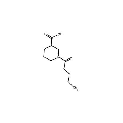 CCCCC(=O)N1CCC[C@@H](C(=O)O)C1